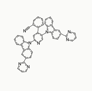 N#Cc1ccccc1-c1cc(-n2c3ccccc3c3cc(-c4ncccn4)ccc32)ncc1-n1c2ccccc2c2cc(-c3ncccn3)ccc21